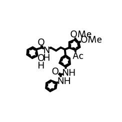 COc1cc(C(C)=O)c(C(CCCNC(=O)c2ccccc2O)c2ccc(NC(=O)Nc3ccccc3)cc2)cc1OC